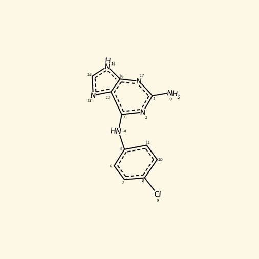 Nc1nc(Nc2ccc(Cl)cc2)c2nc[nH]c2n1